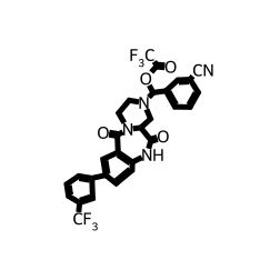 N#Cc1cccc(C(OC(=O)C(F)(F)F)N2CCN3C(=O)c4cc(-c5cccc(C(F)(F)F)c5)ccc4NC(=O)C3C2)c1